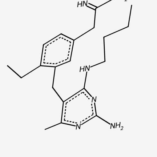 CCCCNc1nc(N)nc(C)c1Cc1cc(CC(=N)N)ccc1CC